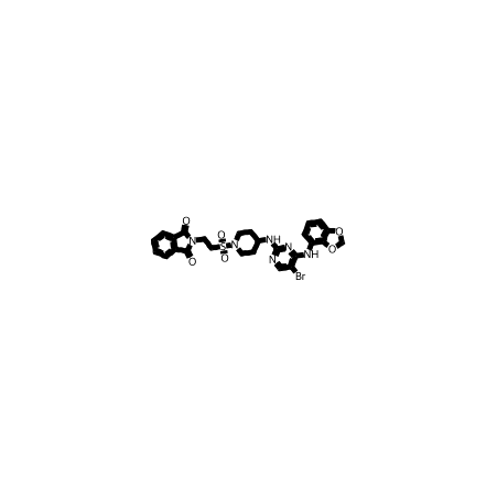 O=C1c2ccccc2C(=O)N1CCS(=O)(=O)N1CCC(Nc2ncc(Br)c(Nc3cccc4c3OCO4)n2)CC1